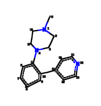 CN1CCN(c2cc[c]cc2-c2ccncc2)CC1